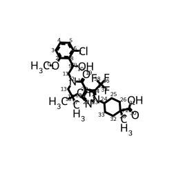 COc1cccc(Cl)c1[C@@H](O)CN(CC(C)(C)C)C(=O)c1cnn(C2CCC(C)(C(=O)O)CC2)c1C(F)(F)F